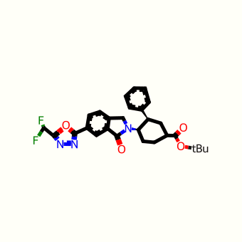 CC(C)(C)OC(=O)C1CC[C@@H](N2Cc3ccc(-c4nnc(C(F)F)o4)cc3C2=O)[C@@H](c2ccccc2)C1